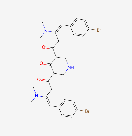 CN(C)/C(=C/c1ccc(Br)cc1)CC(=O)C1CNCC(C(=O)C/C(=C\c2ccc(Br)cc2)N(C)C)C1=O